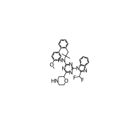 COc1ccc(-c2ccccc2CC(C)(C)Nc2nc(C3CNCCO3)nc(-n3c(C(F)F)nc4ccccc43)n2)cc1